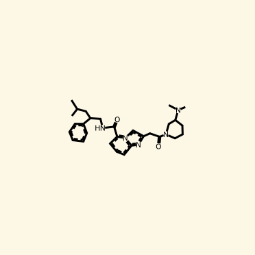 CC(C)CC(CNC(=O)c1cccc2nc(CC(=O)N3CCCC(N(C)C)C3)cn12)c1ccccc1